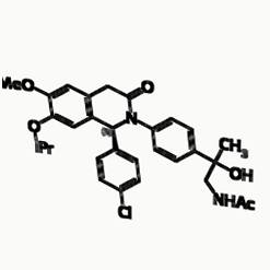 COc1cc2c(cc1OC(C)C)[C@H](c1ccc(Cl)cc1)N(c1ccc(C(C)(O)CNC(C)=O)cc1)C(=O)C2